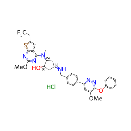 COc1nc(N(C)[C@H]2C[C@@H](NCc3ccc(-c4cc(OC)c(Oc5ccccc5)nn4)cc3)C[C@H]2O)c2cc(CC(F)(F)F)sc2n1.Cl